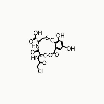 O=C(CCl)N[C@H]1COC(=O)c2cc(O)cc(O)c2CSC[C@@H](C(=O)O)NC1=O